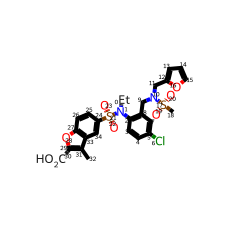 CCN(c1ccc(Cl)cc1CN(Cc1ccco1)S(C)(=O)=O)S(=O)(=O)c1ccc2oc(C(=O)O)c(C)c2c1